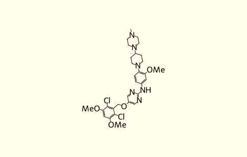 COc1cc(Nc2ncc(OCc3c(Cl)c(OC)cc(OC)c3Cl)cn2)ccc1N1CCC(N2CCN(C)CC2)CC1